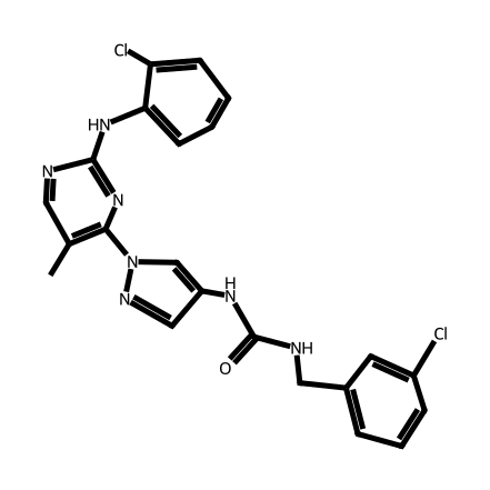 Cc1cnc(Nc2ccccc2Cl)nc1-n1cc(NC(=O)NCc2cccc(Cl)c2)cn1